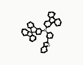 c1cc(-c2cc3ccccc3s2)cc(N(c2ccc3c(c2)-c2ccccc2C32c3ccccc3-c3ccccc32)c2ccc3c4ccccc4c4ccccc4c3c2)c1